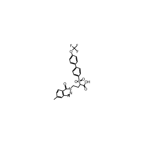 Cc1ccc2c(=O)n(CCC(C(=O)O)S(=O)(=O)c3ccc(-c4ccc(OC(F)(F)F)cc4)cc3)nnc2c1